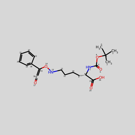 CC(C)(C)OC(=O)N[C@@H](CCCCNOC(=C=O)c1ccccc1)C(=O)O